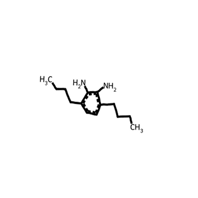 CCCCc1ccc(CCCC)c(N)c1N